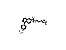 CS(=O)(=O)/C=C/CCNC(=O)c1ccc2c(-c3ccc(C(F)(F)F)cc3)cccc2c1